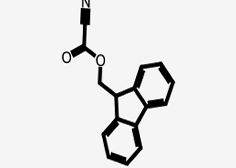 N#CC(=O)OCC1c2ccccc2-c2ccccc21